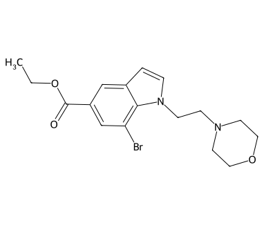 CCOC(=O)c1cc(Br)c2c(ccn2CCN2CCOCC2)c1